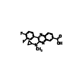 CN(c1nc2cc(C(=O)O)ccc2nc1-c1ccc(F)c(F)c1)C1CC1